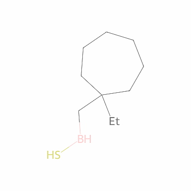 CCC1(CBS)CCCCCC1